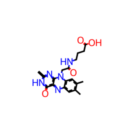 C=c1nc2c(c(=O)[nH]1)=Nc1cc(C)c(C)cc1N2CC(=O)NCCCC(=O)O